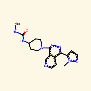 Cn1nccc1-c1nnc(N2CCC(NC(=O)NC(C)(C)C)CC2)c2cnccc12